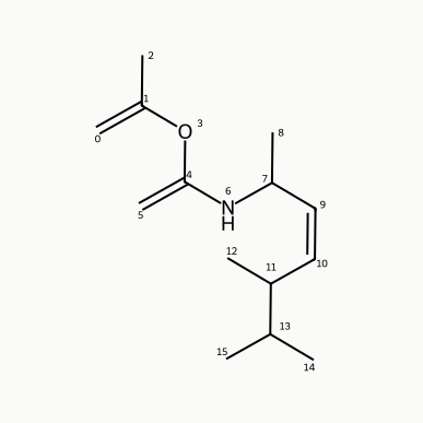 C=C(C)OC(=C)NC(C)/C=C\C(C)C(C)C